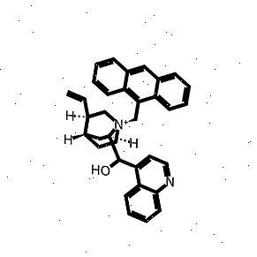 C=C[C@H]1C[N@+]2(Cc3c4ccccc4cc4ccccc34)CC[C@H]1C[C@@H]2C(O)c1ccnc2ccccc12